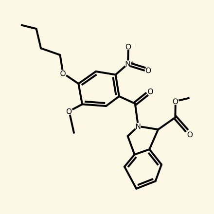 CCCCOc1cc([N+](=O)[O-])c(C(=O)N2Cc3ccccc3C2C(=O)OC)cc1OC